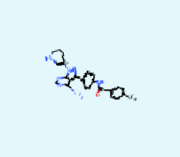 Nc1ncnc2c1c(-c1ccc(NC(=O)c3ccc(C(F)(F)F)cc3)cc1)nn2[C@@H]1CCCNC1